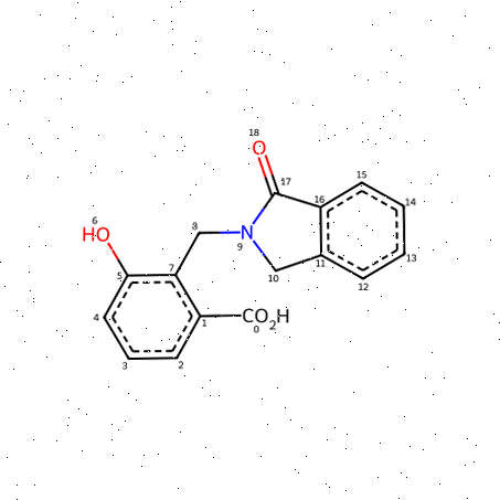 O=C(O)c1cccc(O)c1CN1Cc2ccccc2C1=O